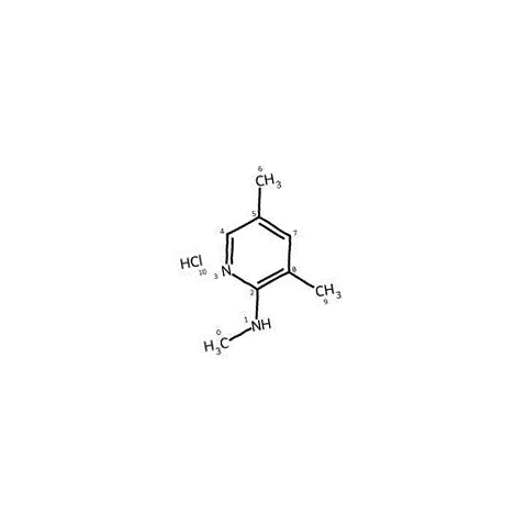 CNc1ncc(C)cc1C.Cl